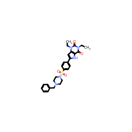 CCn1c(=O)c2[nH]c(-c3ccc(S(=O)(=O)N4CCN(Cc5ccccc5)CC4)cc3)cc2n(CC)c1=O